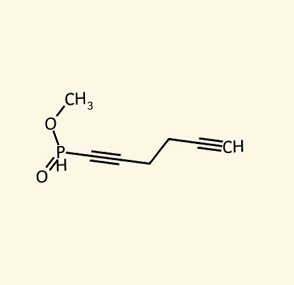 C#CCCC#C[PH](=O)OC